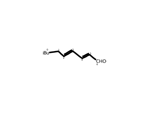 CCC(C)CC=CC=C[C]=O